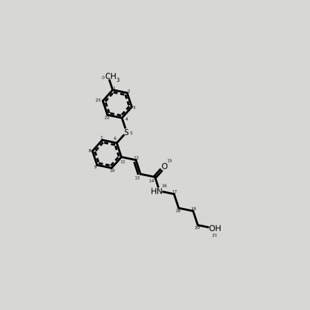 Cc1ccc(Sc2ccccc2/C=C/C(=O)NCCCCO)cc1